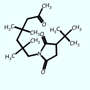 CC(=O)CC(C)(C)CC(C)(C)CN1C(=O)CC(C(C)(C)C)C1=O